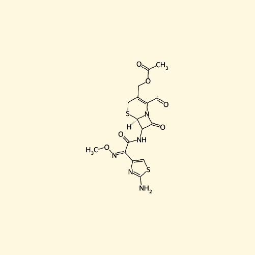 CO/N=C(\C(=O)NC1C(=O)N2C([C]=O)=C(COC(C)=O)CS[C@H]12)c1csc(N)n1